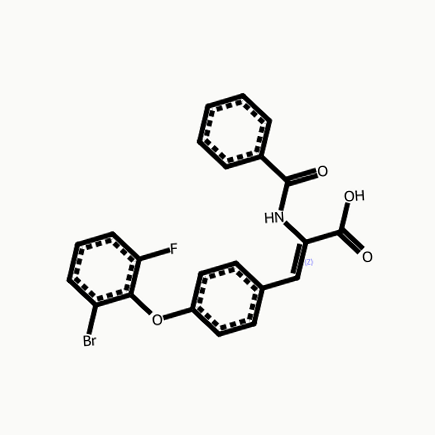 O=C(O)/C(=C/c1ccc(Oc2c(F)cccc2Br)cc1)NC(=O)c1ccccc1